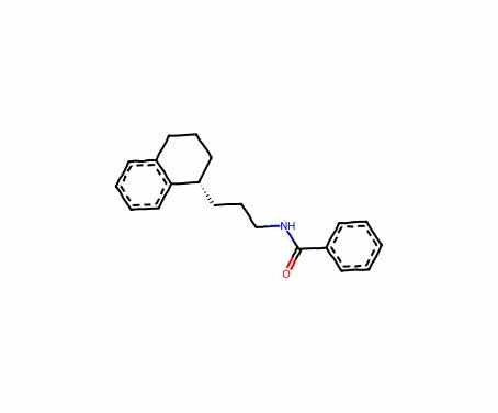 O=C(NCCC[C@H]1CCCc2ccccc21)c1ccccc1